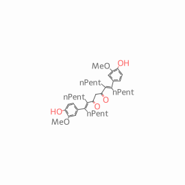 CCCCC/C(C(=O)CC(=O)/C(CCCCC)=C(\CCCCC)c1ccc(O)c(OC)c1)=C(/CCCCC)c1ccc(O)c(OC)c1